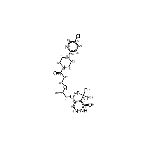 C[C@H](COc1cn[nH]c(=O)c1C(F)(F)F)OCCC(=O)N1CCN(c2ccc(Cl)cn2)CC1